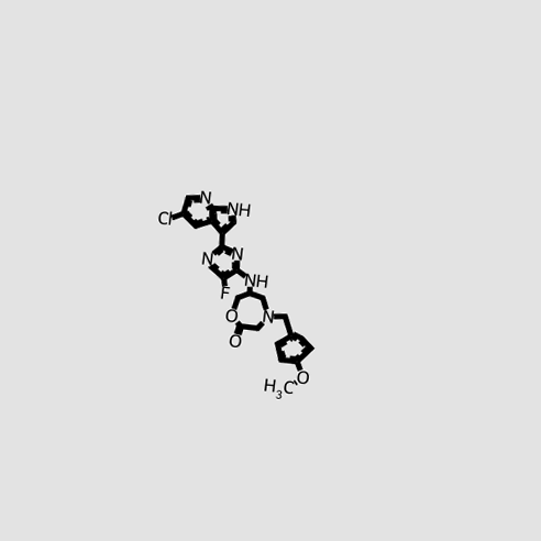 COc1ccc(CN2CC(=O)OCC(Nc3nc(-c4c[nH]c5ncc(Cl)cc45)ncc3F)C2)cc1